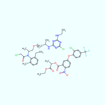 CCNc1nc(Cl)nc(NC(C)C)n1.CCOC(=O)C(C)OC(=O)c1cc(Oc2ccc(C(F)(F)F)cc2Cl)ccc1[N+](=O)[O-].CCc1cccc(C)c1N(C(=O)CCl)C(C)COC